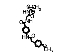 COc1ccc(CC(=O)Nc2ccc(C(=O)NCC(=O)NS(C)(=O)=O)cc2)cc1